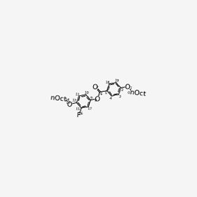 CCCCCCCCOc1ccc(C(=O)Oc2ccc(OCCCCCCCC)c(F)c2)cc1